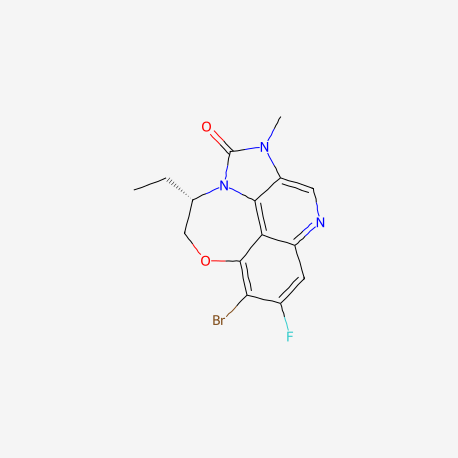 CC[C@H]1COc2c(Br)c(F)cc3ncc4c(c23)n1c(=O)n4C